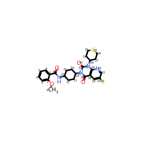 COc1ccccc1C(=O)NC1CCC(n2c(=O)c3cc(F)cnc3n(C3CCSCC3)c2=O)CC1